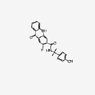 CC(C)(NC(=O)c1cc2[nH]c3ccccc3c(=O)c2cc1F)c1ccc(C#N)cc1